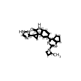 C[C@H]1CCN1c1nc2c(c(-c3ccc4c(c3)C3(CC3c3nc[nH]n3)C(=O)N4)n1)CCC2